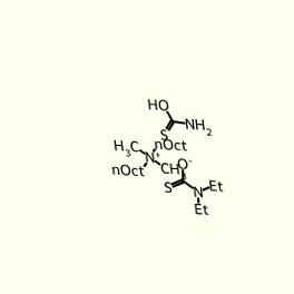 CCCCCCCC[N+](C)(C)CCCCCCCC.CCN(CC)C([O-])=S.NC(O)=S